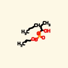 C=CCOO[PH](=O)OC(O)CC.CCCC